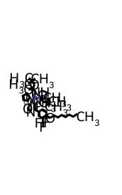 CCCCCCCCOc1ccc(C2=NOC([C@@H]3C=CCN3/C(=N/C(=O)OC(C)(C)C)NC(=O)OC(C)(C)C)N2C)cc1C(F)(F)F